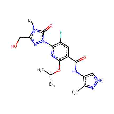 CCn1c(CO)nn(-c2nc(O[C@@H](C)C(F)(F)F)c(C(=O)Nc3c[nH]nc3C(F)(F)F)cc2F)c1=O